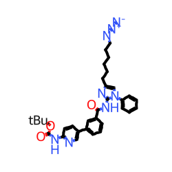 CC(C)(C)OC(=O)Nc1ccc(-c2cccc(C(=O)Nc3nc(CCCCCCN=[N+]=[N-])cn3-c3ccccc3)c2)cn1